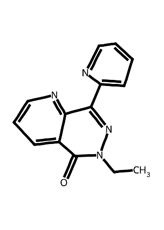 CCn1nc(-c2ccccn2)c2ncccc2c1=O